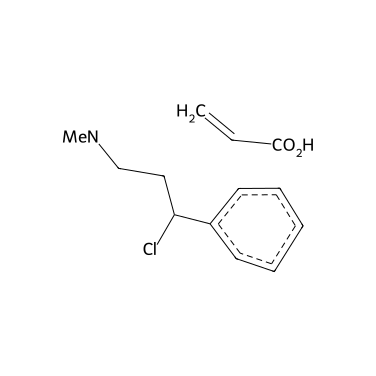 C=CC(=O)O.CNCCC(Cl)c1ccccc1